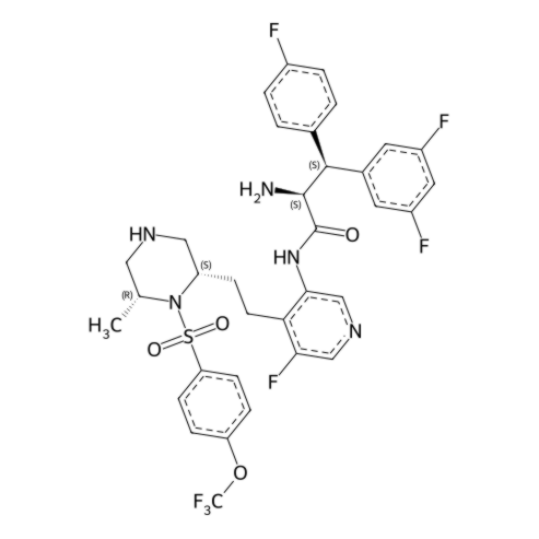 C[C@@H]1CNC[C@H](CCc2c(F)cncc2NC(=O)[C@@H](N)[C@@H](c2ccc(F)cc2)c2cc(F)cc(F)c2)N1S(=O)(=O)c1ccc(OC(F)(F)F)cc1